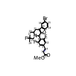 COC(=O)/C=C/c1cc(F)c(C2c3oc4ccc(Br)cc4c3CC(C)N2CC(C)(C)F)c(F)c1